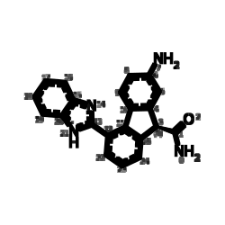 NC(=O)[C@@H]1c2cc(N)ccc2-c2c(-c3nc4ccccc4[nH]3)cccc21